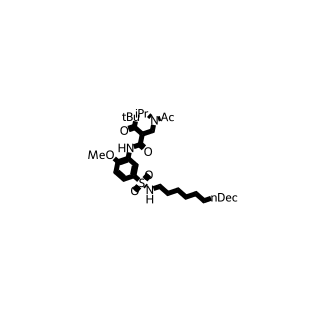 CCCCCCCCCCCCCCCCNS(=O)(=O)c1ccc(OC)c(NC(=O)C(CN(C(C)=O)C(C)C)C(=O)C(C)(C)C)c1